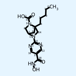 CCCCCC12CC(CN1C(=O)O)N(c1ncc(C(=O)NO)cn1)C2